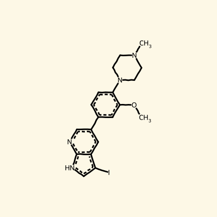 COc1cc(-c2cnc3[nH]cc(I)c3c2)ccc1N1CCN(C)CC1